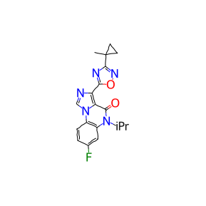 CC(C)n1c(=O)c2c(-c3nc(C4(C)CC4)no3)ncn2c2ccc(F)cc21